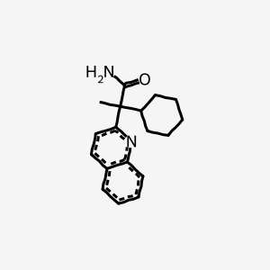 CC(C(N)=O)(c1ccc2ccccc2n1)C1CCCCC1